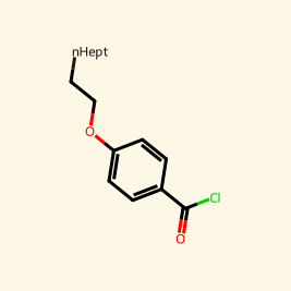 CCCCCCCCCOc1ccc(C(=O)Cl)cc1